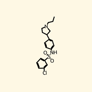 CCCN1CCC(c2ccc(NS(=O)(=O)c3cccc(Cl)c3)cc2)C1